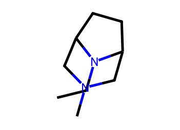 CCN1C2CCC1CN(C)C2